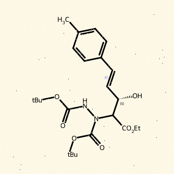 CCOC(=O)C([C@@H](O)/C=C/c1ccc(C)cc1)N(NC(=O)OC(C)(C)C)C(=O)OC(C)(C)C